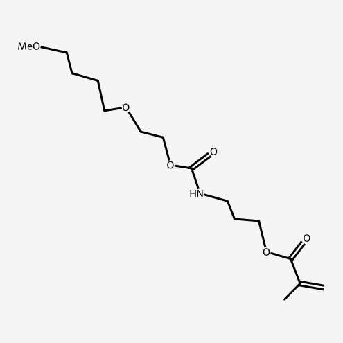 C=C(C)C(=O)OCCCNC(=O)OCCOCCCCOC